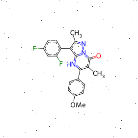 COc1ccc(-c2[nH]c3c(-c4ccc(F)cc4F)c(C)nn3c(=O)c2C)cc1